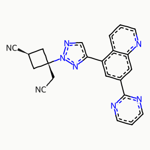 N#CC[C@]1(n2ncc(-c3cc(-c4ncccn4)cc4ncccc34)n2)C[C@H](C#N)C1